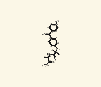 CC(NC(=O)C(C)(C)Oc1ccc(C(=O)c2ccc(Cl)cc2)cc1)C(=O)O